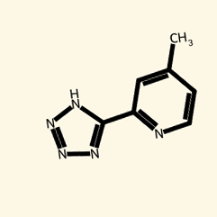 Cc1ccnc(-c2nnn[nH]2)c1